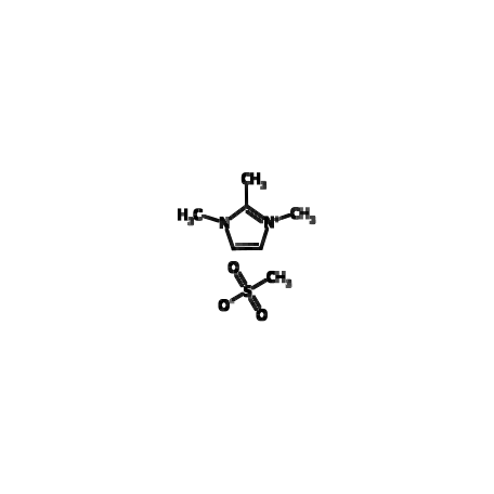 CS(=O)(=O)[O-].Cc1n(C)cc[n+]1C